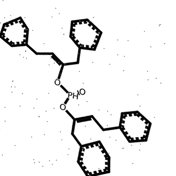 O=[PH](OC(=CCc1ccccc1)Cc1ccccc1)OC(=CCc1ccccc1)Cc1ccccc1